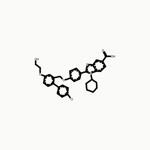 O=C(O)c1ccc2c(c1)nc(-c1ccc(OCc3cc(OCCO)ccc3-c3ccc(Cl)cc3)cc1)n2C1CCCCC1